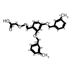 Cc1cccc(COc2ccc(C=NOCC(=O)O)c(OCc3cccc(C)c3)c2)c1